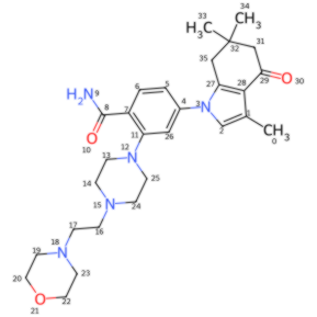 Cc1cn(-c2ccc(C(N)=O)c(N3CCN(CCN4CCOCC4)CC3)c2)c2c1C(=O)CC(C)(C)C2